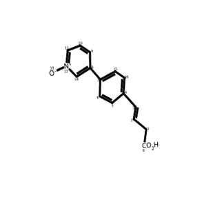 O=C(O)C/C=C/c1ccc(-c2ccc[n+]([O-])c2)cc1